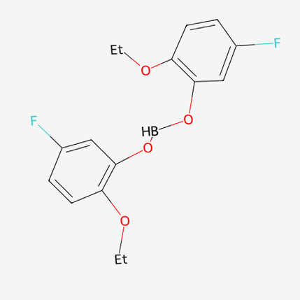 CCOc1ccc(F)cc1OBOc1cc(F)ccc1OCC